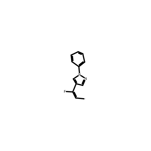 [CH2]/C=C(/F)c1cnn(-c2ccccc2)c1